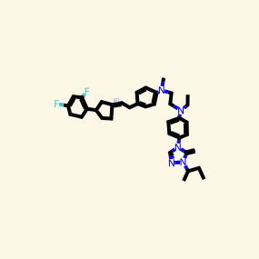 C=C1N(c2ccc(N(CC)CCN(C)c3ccc(C/C=C4\CCC(C5=C(F)C=C(F)CC5)C4)cc3)cc2)C=NN1C(C)CC